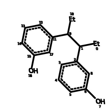 CCC(c1cccc(O)c1)C(CC)c1cccc(O)c1